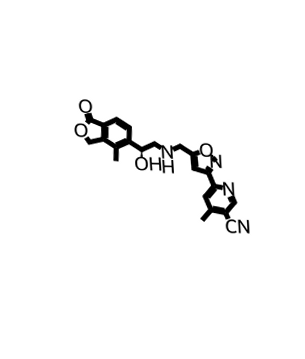 Cc1cc(-c2cc(CNC[C@H](O)c3ccc4c(c3C)COC4=O)on2)ncc1C#N